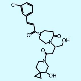 O=C(/C=C/c1cccc(Cl)c1)N1CCC(=O)N([C@@H](CO)CC(=O)N2CCC3(CC3)[C@H](O)C2)CC1